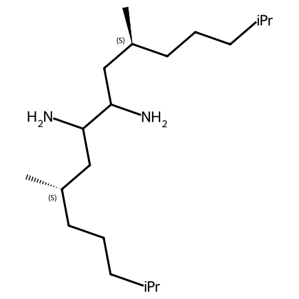 CC(C)CCC[C@H](C)CC(N)C(N)C[C@@H](C)CCCC(C)C